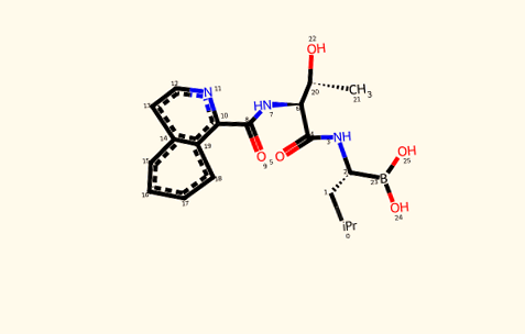 CC(C)C[C@H](NC(=O)[C@@H](NC(=O)c1nccc2ccccc12)[C@@H](C)O)B(O)O